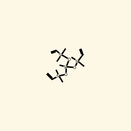 C=C[Si](C)(C)O[Si](C)(O[Si](C)(C)C=C)O[Si](C)(C)C=C